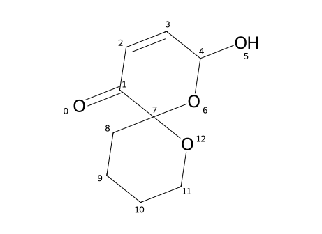 O=C1C=CC(O)OC12CCCCO2